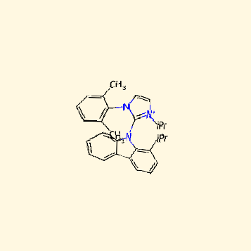 Cc1cccc(C)c1-n1cc[n+](C(C)C)c1-n1c2ccccc2c2cccc(C(C)C)c21